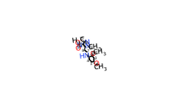 COc1ccc(NC=Cc2c([N+](=O)[O-])c(C)nn2C)c(OC)c1